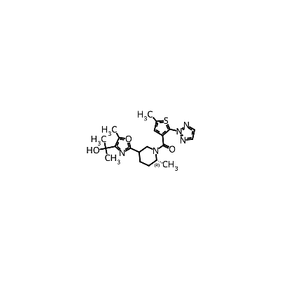 Cc1cc(C(=O)N2CC(c3nc(C(C)(C)O)c(C)o3)CC[C@H]2C)c(-n2nccn2)s1